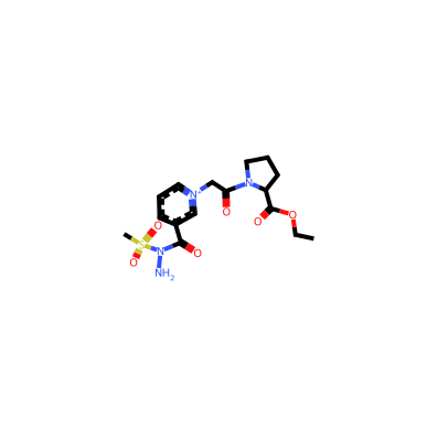 CCOC(=O)C1CCCN1C(=O)C[n+]1cccc(C(=O)N(N)S(C)(=O)=O)c1